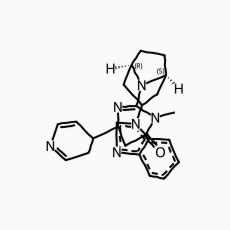 CN1C(=O)CC(C2C=CN=CC2)N=C1N1[C@@H]2CC[C@H]1CC(n1cnc3ccccc31)C2